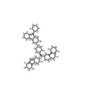 c1ccc(-n2c3ccccc3c3cc(-c4ccc(N(c5ccc6c(c5)sc5ccccc56)c5ccc6ccc7ccccc7c6c5)cc4)ccc32)cc1